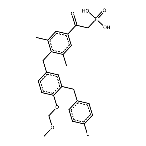 COCOc1ccc(Cc2c(C)cc(C(=O)CP(=O)(O)O)cc2C)cc1Cc1ccc(F)cc1